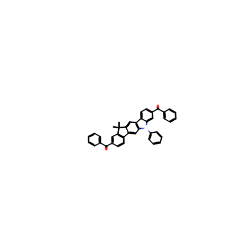 CC1(C)c2cc(C(=O)c3ccccc3)ccc2-c2cc3c(cc21)c1ccc(C(=O)c2ccccc2)cc1n3-c1ccccc1